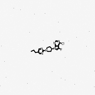 CCCc1cnc(N2CCC(n3cc(F)c4c(Cl)ncnc43)CC2)nc1